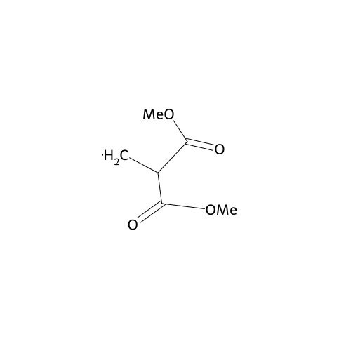 [CH2]C(C(=O)OC)C(=O)OC